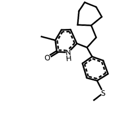 CSc1ccc(C(CC2CCCCC2)c2ccc(C)c(=O)[nH]2)cc1